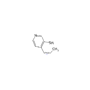 C/C=C\c1ccncc1S